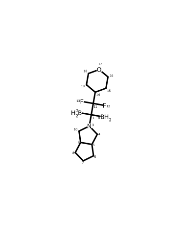 BC(B)(N1CC2CCCC2C1)C(F)(F)C1CCOCC1